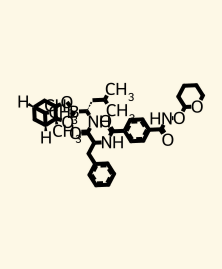 CC(C)C[C@H](NC(=O)C(Cc1ccccc1)NC(=O)c1ccc(C(=O)NOC2CCCCO2)cc1)B1OC2C[C@H]3C[C@H](C3(C)C)[C@@]2(C)O1